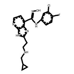 O/N=C(\Nc1ccc(F)c(Cl)c1)c1ccnc2[nH]c(CCNCC3CC3)nc12